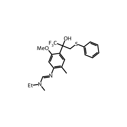 CCN(C)C=Nc1cc(OC)c(C(O)(CSc2ccccc2)C(F)(F)F)cc1C